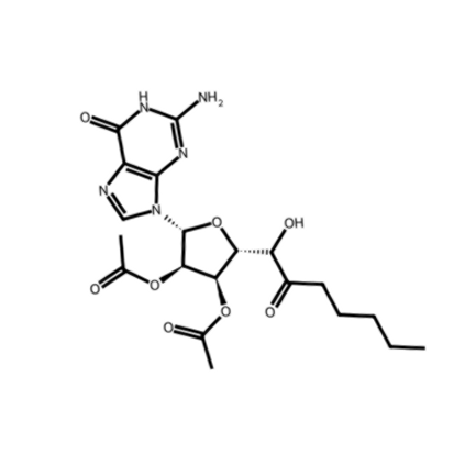 CCCCCC(=O)C(O)[C@H]1O[C@@H](n2cnc3c(=O)[nH]c(N)nc32)[C@H](OC(C)=O)[C@@H]1OC(C)=O